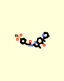 CCS(=O)(=O)c1ccc(CC(=O)Nc2cc(C)c3c(n2)CCC(C)(c2ccccn2)C3=O)cc1